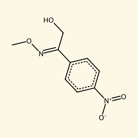 CON=C(CO)c1ccc([N+](=O)[O-])cc1